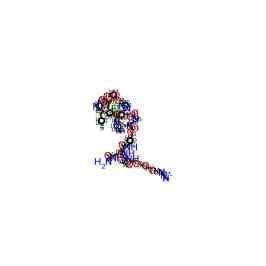 Cc1c(-c2c(-c3ccc(F)cc3)sc3ncnc(O[C@H](Cc4ccccc4OCc4ccnc(-c5ccccc5COC(=O)N(C)CCN(C)C(=O)OCc5ccc(NC(=O)[C@H](CCCNC(N)=O)NC(=O)[C@@H](NC(=O)COCCOCCOCCN=[N+]=[N-])C(C)C)cc5)n4)C(=O)O)c23)ccc(OCCN2CCN(C)CC2)c1Cl